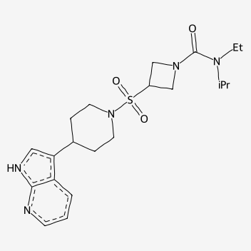 CCN(C(=O)N1CC(S(=O)(=O)N2CCC(c3c[nH]c4ncccc34)CC2)C1)C(C)C